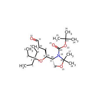 CC[Si](CC)(CC)O[C@@H](CCC=O)[C@H]1COC(C)(C)N1C(=O)OC(C)(C)C